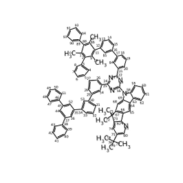 Cc1c(-c2ccccc2)c(C)c(-c2cccc(-c3cccc(-c4nc(-c5cccc(-c6cccc(-c7cc(-c8ccccc8)cc(-c8ccccc8)c7)c6)c5)nc(-n5c6ccccc6c6cc7c(cc65)C(C)(C)c5cc(C(C)(C)C)cnc5-7)n4)c3)c2)c(C)c1-c1ccccc1